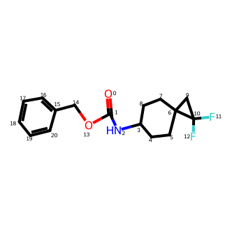 O=C(NC1CCC2(CC1)CC2(F)F)OCc1ccccc1